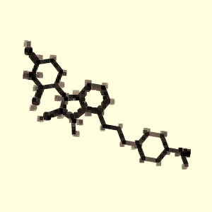 CNC1CCN(CCCc2cccc3c2n(C)c(=O)n3C2CCC(=O)NC2=O)CC1